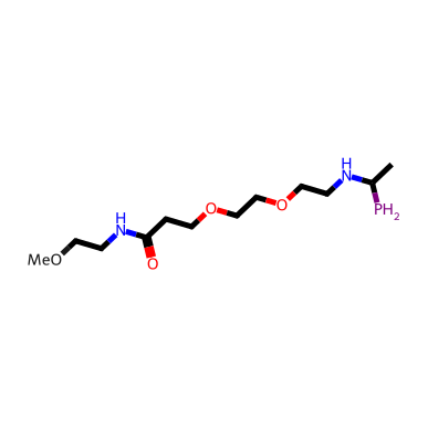 COCCNC(=O)CCOCCOCCNC(C)P